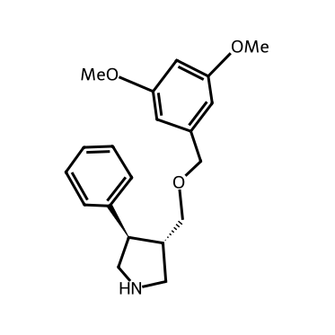 COc1cc(COC[C@@H]2CNC[C@H]2c2ccccc2)cc(OC)c1